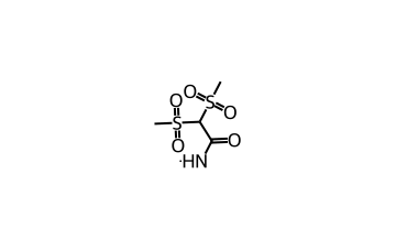 CS(=O)(=O)C(C([NH])=O)S(C)(=O)=O